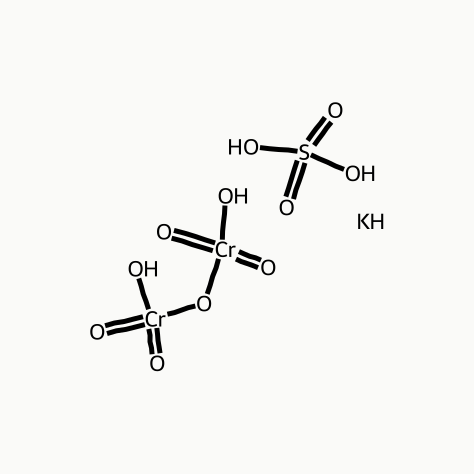 O=S(=O)(O)O.[KH].[O]=[Cr](=[O])([OH])[O][Cr](=[O])(=[O])[OH]